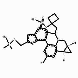 CC(C)(C)[Si](C)(C)OCc1cc2nccc(-c3cc(Cl)cc4c3N(C3CN(S(=O)(=O)C(C)(C)C)C5(CCC5)C3)C[C@H]3C[C@@H]43)c2s1